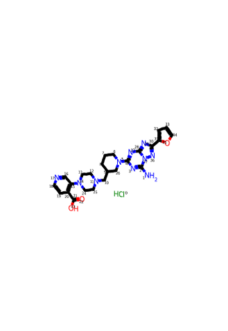 Cl.Nc1nc(N2CCCC(CN3CCN(c4cnccc4C(=O)O)CC3)C2)nc2nc(-c3ccco3)nn12